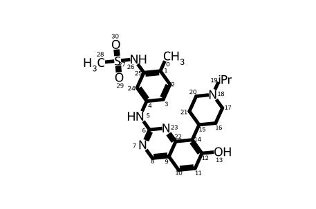 Cc1ccc(Nc2ncc3ccc(O)c(C4CCN(C(C)C)CC4)c3n2)cc1NS(C)(=O)=O